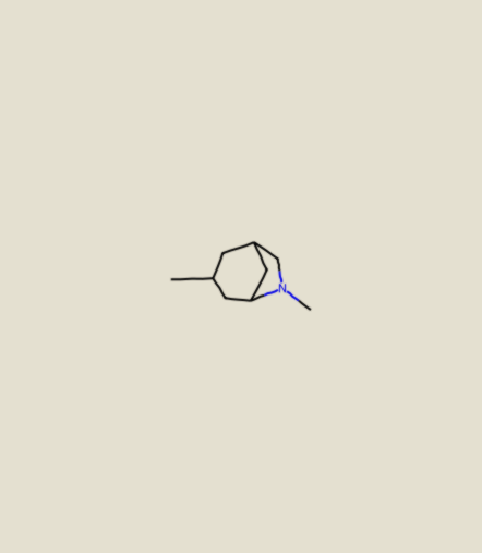 CC1CC2CC(C1)N(C)C2